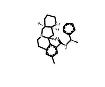 Cc1cc2c(c(C(=O)N[C@H](C)c3ccccc3)c1)[C@H]1C[C@@H]3NCCC[C@@H]3CN1CC2